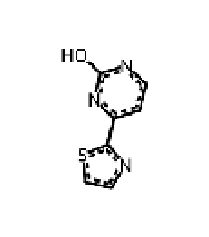 Oc1nccc(-c2nccs2)n1